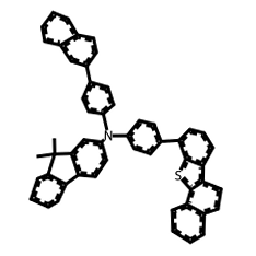 CC1(C)c2ccccc2-c2ccc(N(c3ccc(-c4ccc5ccccc5c4)cc3)c3ccc(-c4cccc5c4sc4c6ccccc6ccc54)cc3)cc21